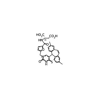 Cc1ccc2c(c1)C=Cc1cc(C)ccc1C2c1cn(Cc2ccc(C(=O)N[C@@H](CC(=O)O)C(=O)O)o2)c(=O)[nH]c1=S